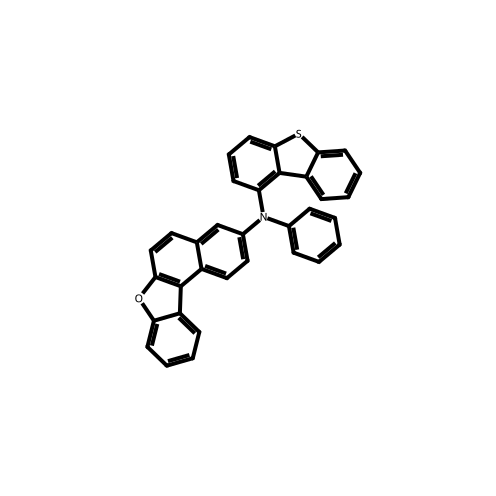 c1ccc(N(c2ccc3c(ccc4oc5ccccc5c43)c2)c2cccc3sc4ccccc4c23)cc1